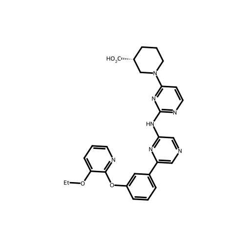 CCOc1cccnc1Oc1cccc(-c2cncc(Nc3nccc(N4CCC[C@@H](C(=O)O)C4)n3)n2)c1